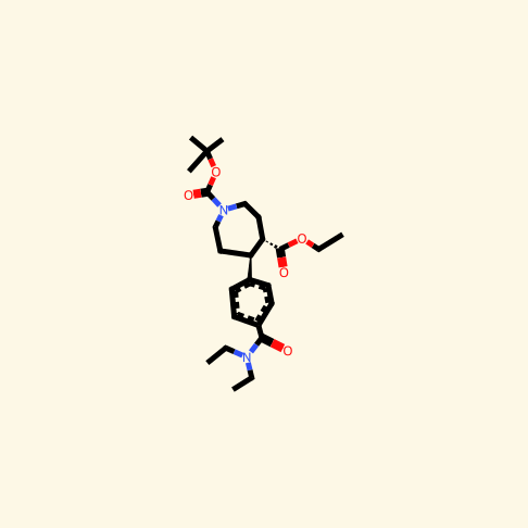 CCOC(=O)[C@H]1CCN(C(=O)OC(C)(C)C)CC[C@@H]1c1ccc(C(=O)N(CC)CC)cc1